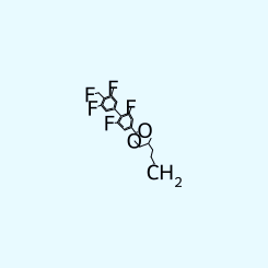 C=CCCC1COC(c2cc(F)c(-c3cc(F)c(CF)c(F)c3)c(F)c2)OC1